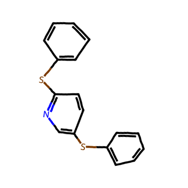 c1ccc(Sc2ccc(Sc3ccccc3)nc2)cc1